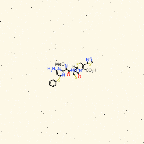 CON=C(C(=O)NC1(C=S)C(=O)N2C(C(=O)O)=C(c3nncs3)CS[C@H]21)c1nc(N)cc(Sc2ccccc2)n1